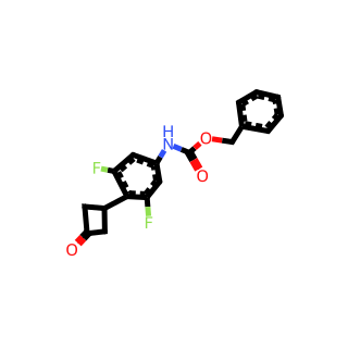 O=C1CC(c2c(F)cc(NC(=O)OCc3ccccc3)cc2F)C1